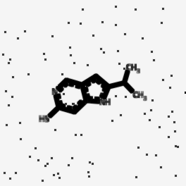 CC(C)c1cc2cnc(S)cc2[nH]1